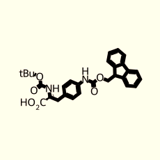 CC(C)(C)OC(=O)N[C@@H](Cc1ccc(NC(=O)OCC2c3ccccc3-c3ccccc32)cc1)C(=O)O